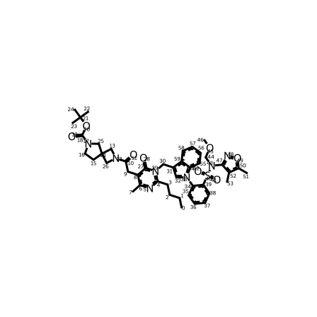 CCCCc1nc(C)c(CC(=O)N2CC3(CCN(C(=O)OC(C)(C)C)C3)C2)c(=O)n1Cc1cn(-c2ccccc2S(=O)(=O)N(COC)c2noc(C)c2C)c2ccccc12